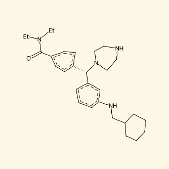 CCN(CC)C(=O)c1ccc([C@@H](c2cccc(NCC3CCCCC3)c2)N2CCNCC2)cc1